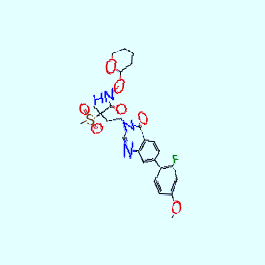 COc1ccc(-c2ccc3c(=O)n(CCC(C)(C(=O)NOC4CCCCO4)S(C)(=O)=O)cnc3c2)c(F)c1